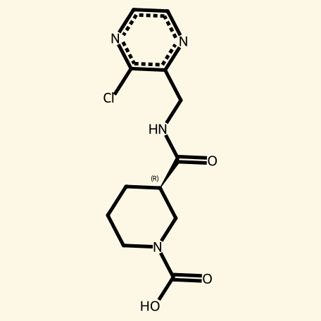 O=C(NCc1nccnc1Cl)[C@@H]1CCCN(C(=O)O)C1